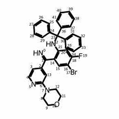 N=C(c1ccnc(N2CCOCC2)c1)c1cc(Br)c(F)cc1NC(c1ccccc1)(c1ccccc1)c1ccccc1